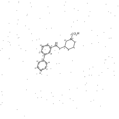 O=C(O)N1CCCC(CNc2cncc(-c3ccncc3)c2)C1